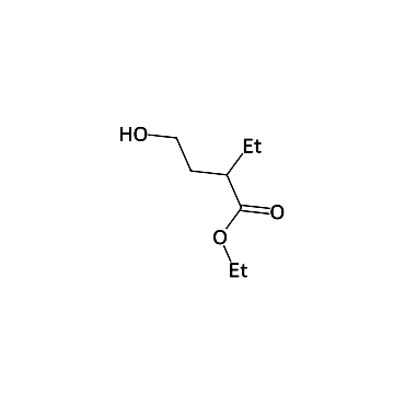 CCOC(=O)C(CC)CCO